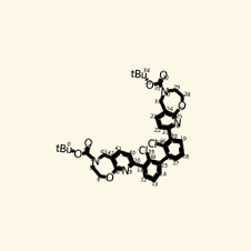 CC(C)(C)OC(=O)N1CCOc2nc(-c3cccc(-c4cccc(-c5ccc6c(n5)OCCN(C(=O)OC(C)(C)C)C6)c4Cl)c3Cl)ccc2C1